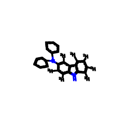 [2H]c1c([2H])c([2H])c2c([nH]c3c([2H])c([2H])c(N(c4ccccc4)c4ccccc4)c([2H])c32)c1[2H]